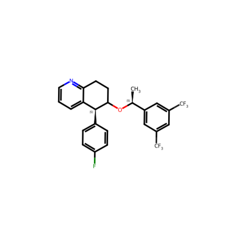 C[C@H](OC1CCc2ncccc2[C@@H]1c1ccc(F)cc1)c1cc(C(F)(F)F)cc(C(F)(F)F)c1